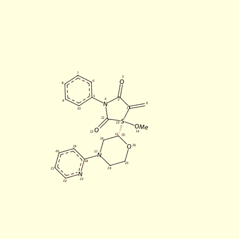 C=C1C(=O)N(c2ccccc2)C(=O)S1(OC)[C@H]1CN(c2ccccn2)CCO1